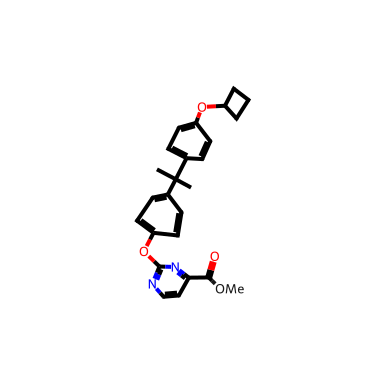 COC(=O)c1ccnc(Oc2ccc(C(C)(C)c3ccc(OC4CCC4)cc3)cc2)n1